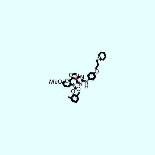 COc1ccc(N(C(=O)Oc2c(C)cccc2C)c2ccnc(Nc3ccc(OCCCN4CCCCC4)cc3)n2)c(-c2cnco2)c1